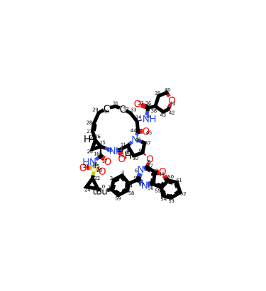 CC(C)(C)c1ccc(-c2nc(O[C@@H]3C[C@H]4C(=O)N[C@]5(C(=O)NS(=O)(=O)C6CC6)C[C@H]5/C=C\CCCCC[C@H](NC(=O)C5CCOCC5)C(=O)N4C3)c3oc4ccccc4c3n2)cc1